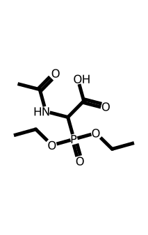 CCOP(=O)(OCC)C(NC(C)=O)C(=O)O